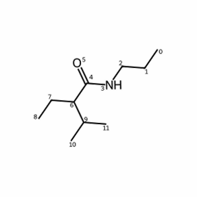 CCCNC(=O)C(CC)C(C)C